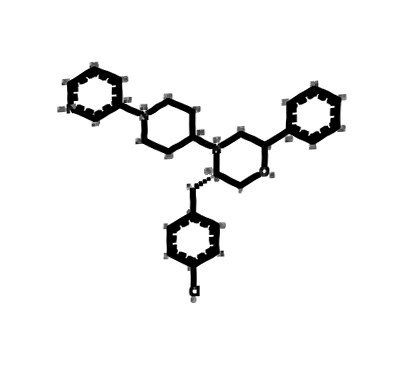 Clc1ccc(C[C@H]2COC(c3ccccc3)CN2C2CCN(c3cccnc3)CC2)cc1